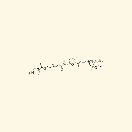 CC[C@H](OC)[C@@H](C)OC(C)(C)C[C@H](C)/C=C/CC(C)[C@H]1O[C@@H](CNC(=O)CCOCCOC(=O)N2CCCN(I)CC2)CC[C@@H]1C